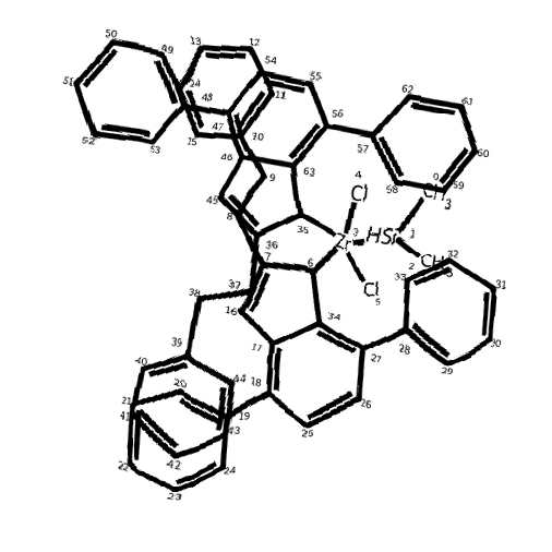 C[SiH](C)[Zr]([Cl])([Cl])([CH]1C(CCc2ccccc2)=Cc2c(-c3ccccc3)ccc(-c3ccccc3)c21)[CH]1C(CCc2ccccc2)=Cc2c(-c3ccccc3)ccc(-c3ccccc3)c21